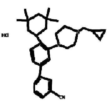 CC1(C)CC(c2ccc(-c3cccc(C#N)c3)cc2N2CCN(CC3CC3)CC2)CC(C)(C)C1.Cl